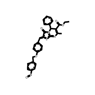 CCOC(=O)C1=C(C)N=c2s/c(=C\c3ccc(OCc4ccc(N=O)cc4)cc3)c(=O)n2C1c1ccccc1